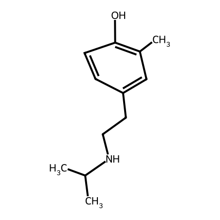 Cc1cc(CCNC(C)C)ccc1O